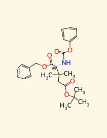 CC(C)(C)OC(=O)CC(C)(C)[C@@H](NC(=O)Oc1ccccc1)C(=O)OCc1ccccc1